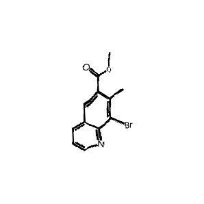 COC(=O)c1cc2cccnc2c(Br)c1C